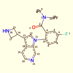 CC(C)N(C(=O)c1cc(F)ccc1-n1cc(C2CNC2)c2ccncc21)C(C)C